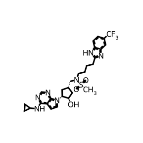 CS(=O)(=O)N(CCCCc1nc2cc(C(F)(F)F)ccc2[nH]1)C[C@@H]1C[C@@H](O)[C@H](n2ccc3c(NC4CC4)ncnc32)C1